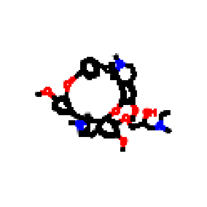 CCN(C)CC(O)COc1c(OC)cc2c3c1Oc1cc4c(cc1OC)CCN(C)[C@H]4Cc1ccc(cc1)Oc1cc(ccc1OC)C[C@@H]3N(C)CC2